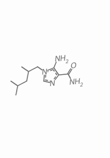 CC(C)CC(C)Cn1cnc(C(N)=O)c1N